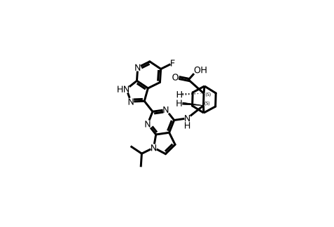 CC(C)n1ccc2c(N[C@H]3C4CCC(CC4)[C@@H]3C(=O)O)nc(-c3n[nH]c4ncc(F)cc34)nc21